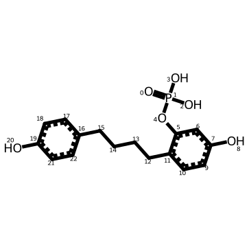 O=P(O)(O)Oc1cc(O)ccc1CCCCc1ccc(O)cc1